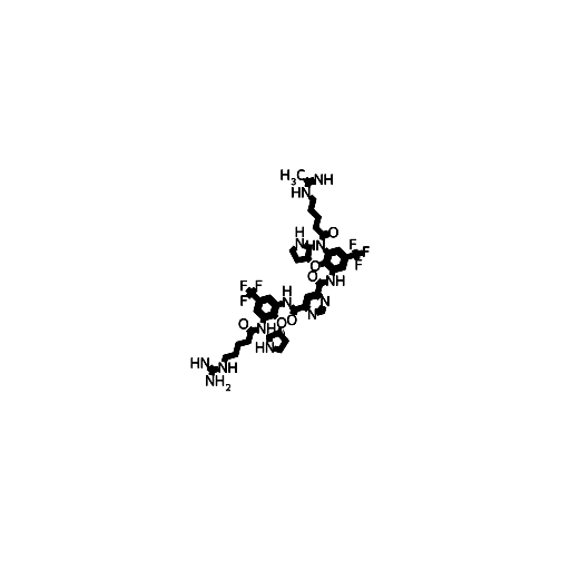 CC(=N)NCCCCC(=O)Nc1cc(C(F)(F)F)cc(NC(=O)c2cc(C(=O)Nc3cc(C(F)(F)F)cc(NC(=O)CCCCNC(=N)N)c3O[C@H]3CCNC3)ncn2)c1OC1CCNC1